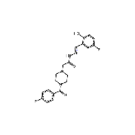 O=C(CN1CCN(C(=O)c2ccc(F)cc2)CC1)N/N=C/c1cc(F)ccc1O